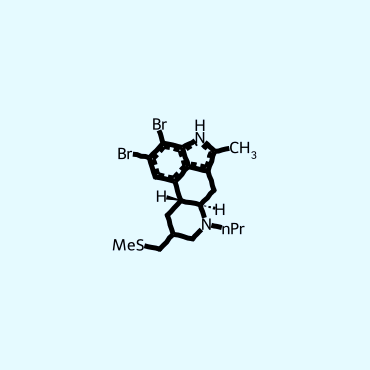 CCCN1CC(CSC)C[C@@H]2c3cc(Br)c(Br)c4[nH]c(C)c(c34)C[C@H]21